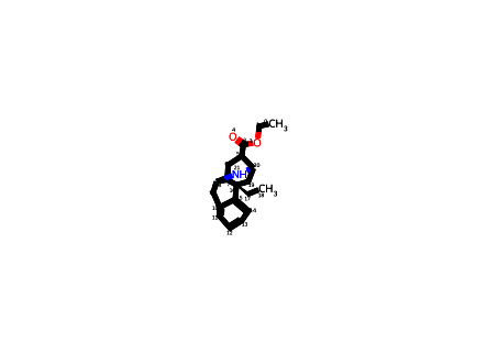 CCOC(=O)C1CC2C3Cc4ccccc4[C@@]2(CC)CC1N3